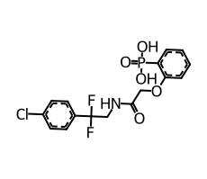 O=C(COc1ccccc1P(=O)(O)O)NCC(F)(F)c1ccc(Cl)cc1